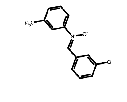 Cc1cccc([N+]([O-])=Cc2cccc(Cl)c2)c1